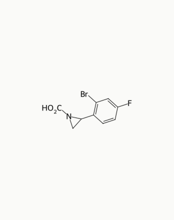 O=C(O)N1CC1c1ccc(F)cc1Br